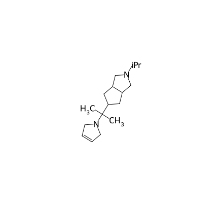 CC(C)N1CC2CC(C(C)(C)N3CC=CC3)CC2C1